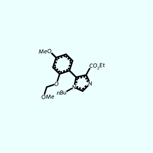 CCCCn1cnc(C(=O)OCC)c1-c1ccc(OC)cc1OCOC